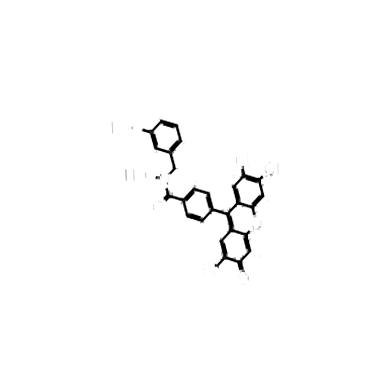 Cc1cccc(CN(C)C(=O)c2ccc(-c3c4cc(Cl)c(=O)cc-4oc4cc(O)c(Cl)cc34)cc2)c1